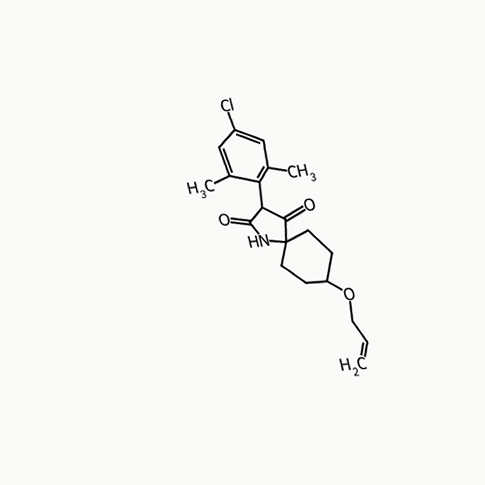 C=CCOC1CCC2(CC1)NC(=O)C(c1c(C)cc(Cl)cc1C)C2=O